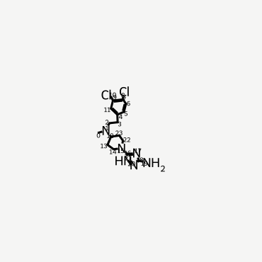 CN(CCc1ccc(Cl)c(Cl)c1)C1CCN(c2nc(N)n[nH]2)CC1